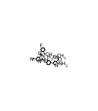 CC(NC(=O)c1cc(C#N)cnc1NCc1ccc(-c2cnc(N)c(C(=O)N(C)C)c2)cc1)c1ccc(F)cc1